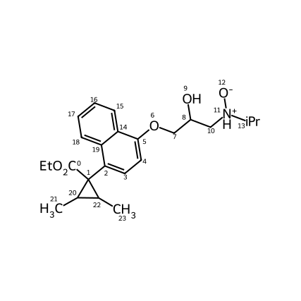 CCOC(=O)C1(c2ccc(OCC(O)C[NH+]([O-])C(C)C)c3ccccc23)C(C)C1C